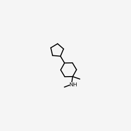 CNC1(C)CCC(C2CCCC2)CC1